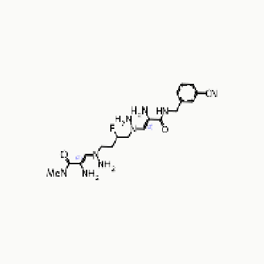 CNC(=O)/C(N)=C/N(N)CCC(F)CN(N)/C=C(\N)C(=O)NCc1cccc(C#N)c1